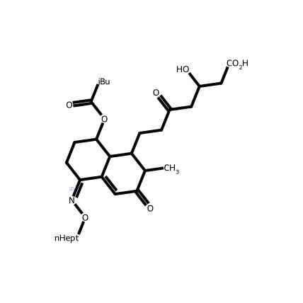 CCCCCCCO/N=C1/CCC(OC(=O)C(C)CC)C2C1=CC(=O)C(C)C2CCC(=O)CC(O)CC(=O)O